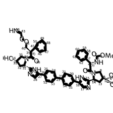 COC(=O)N[C@H](C(=O)N1C[C@@H]([S+](C)[O-])C[C@H]1c1ncc(-c2ccc(-c3ccc(-c4cnc([C@@H]5C[C@H](C=O)CN5C(=O)[C@@H](COOC=N)c5ccccc5)[nH]4)cc3)cc2)[nH]1)c1ccccc1